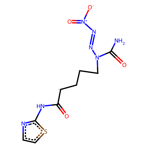 NC(=O)N(CCC[CH]C(=O)Nc1nccs1)N=N[N+](=O)[O-]